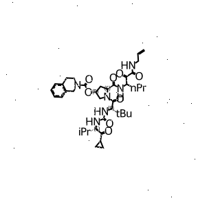 C=CCNC(=O)C(=O)C(CCC)NC(=O)[C@@H]1C[C@@H](OC(=O)N2CCc3ccccc3C2)CN1C(=O)[C@@H](NC(=O)N[C@H](C(=O)C1CC1)C(C)C)C(C)(C)C